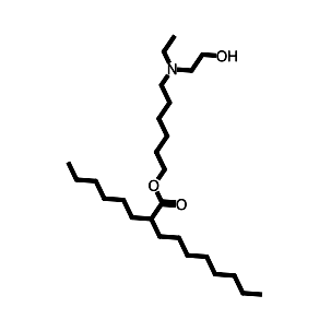 CCCCCCCCC(CCCCCC)C(=O)OCCCCCCN(CC)CCO